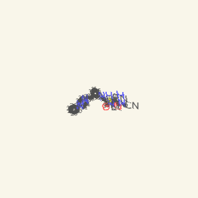 CCn1c(=C(C#N)C(=O)NCC#N)sc(=CNc2cccc(CCN3CCN(c4ccccc4)CC3)c2)c1=O